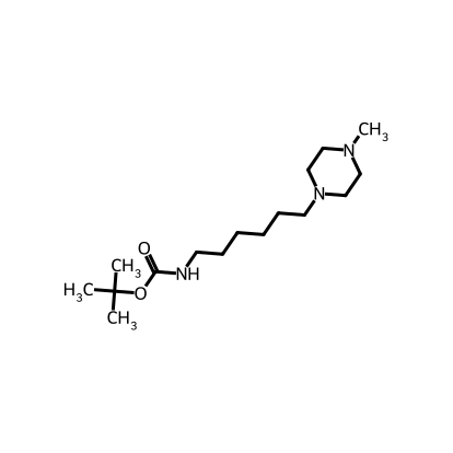 CN1CCN(CCCCCCNC(=O)OC(C)(C)C)CC1